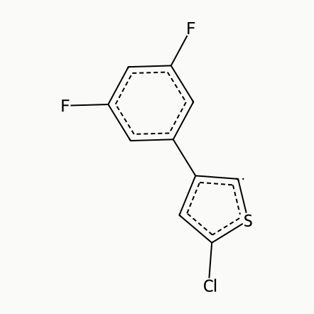 Fc1cc(F)cc(-c2[c]sc(Cl)c2)c1